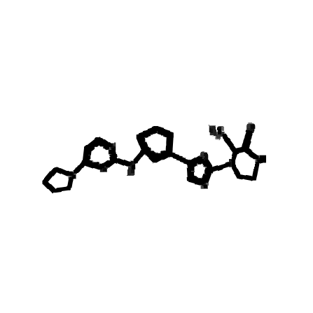 CC1C(=O)NCCN1c1ncc(-c2cccc(Nc3nccc(N4CCCC4)n3)c2)o1